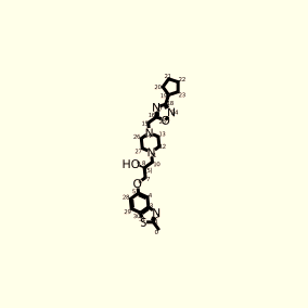 Cc1nc2cc(OC[C@@H](O)CN3CCN(Cc4nc(C5CCCC5)no4)CC3)ccc2s1